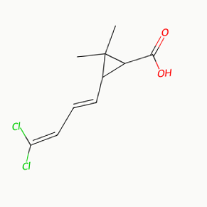 CC1(C)C(C=CC=C(Cl)Cl)C1C(=O)O